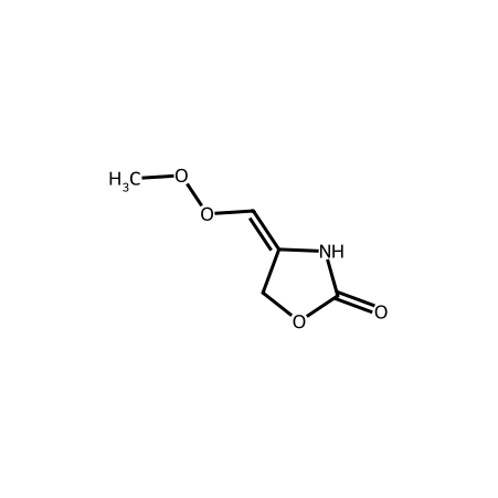 COO/C=C1\COC(=O)N1